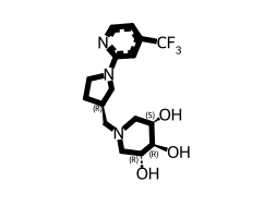 O[C@H]1[C@H](O)CN(C[C@H]2CCN(c3cc(C(F)(F)F)ccn3)C2)C[C@@H]1O